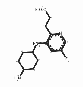 CCOC(=O)CCc1ncc(F)cc1NC1CCC(N)CC1